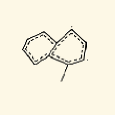 Cc1[c]c[c]c2ccccc12